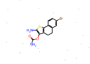 NC(=O)Oc1c(N)sc2c1CCc1cc(Br)ccc1-2